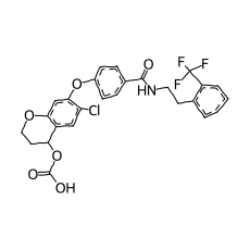 O=C(O)OC1CCOc2cc(Oc3ccc(C(=O)NCCc4ccccc4C(F)(F)F)cc3)c(Cl)cc21